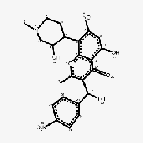 Cc1oc2c(C3CCN(C)CC3O)c(N=O)cc(O)c2c(=O)c1C(O)c1ccc([N+](=O)[O-])cc1